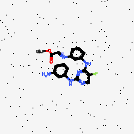 CC(C)(C)OC(=O)/C=N/c1cccc(Nc2nc(Nc3cccc(N)c3)ncc2F)c1